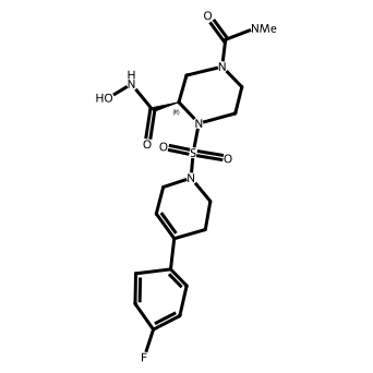 CNC(=O)N1CCN(S(=O)(=O)N2CC=C(c3ccc(F)cc3)CC2)[C@@H](C(=O)NO)C1